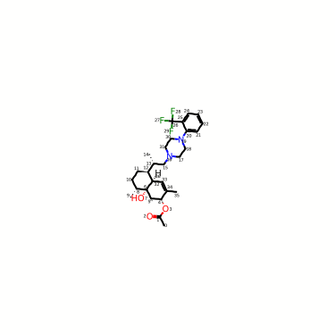 CC(=O)O[C@@H]1[C][C@@]2(O)[C@H](C)CC[C@@H]([C@H](C)CN3CCN(c4ccccc4C(F)(F)F)CC3)[C@H]2C=C1C